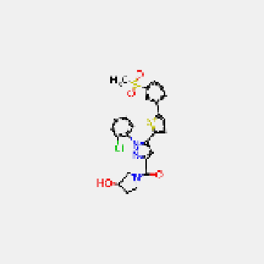 CS(=O)(=O)c1cccc(-c2ccc(-c3cc(C(=O)N4CC[C@@H](O)C4)nn3-c3ccccc3Cl)s2)c1